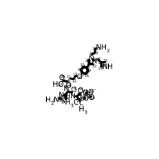 CC1(C)C(NC(=O)/C(=N\O[C@@H](CCCOc2ccc(-c3cn(CCCN)[n+](CC4CNC4)c3)cc2)C(=O)O)c2csc(N)n2)C(=O)N1OS(=O)(=O)[O-]